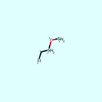 [CH2]CC[SiH2]O[SiH3]